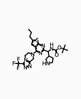 CCCc1cc2c(N3CCn4c(nnc4C(F)(F)F)C3)nc(C(NC(=O)OC(C)(C)C)C3CCNC3)nc2s1